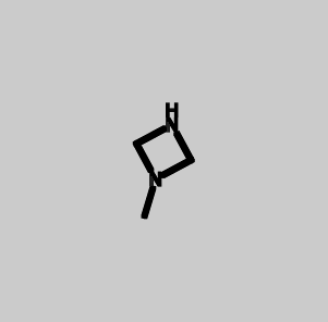 CN1CNC1